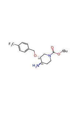 CC(C)(C)OC(=O)N1CC[C@@H](N)[C@H](OCc2ccc(C(F)(F)F)cc2)C1